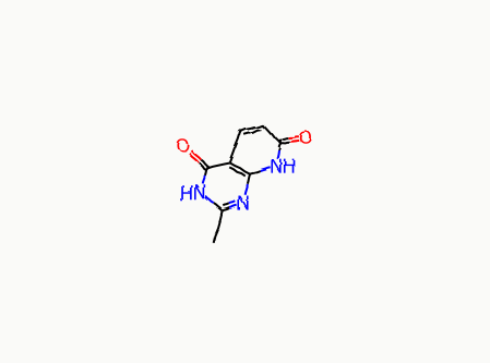 Cc1nc2[nH]c(=O)ccc2c(=O)[nH]1